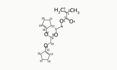 C=C(C)C(=O)OCCOC(COC1=CCCC1)OC1=CCCC1